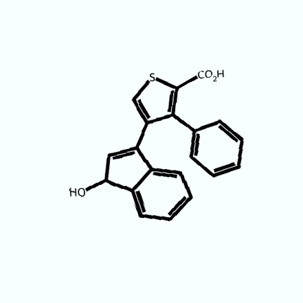 O=C(O)c1scc(C2=CC(O)c3ccccc32)c1-c1ccccc1